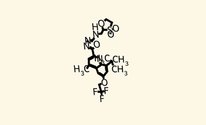 Cc1cc(-c2nnc(NCC3OCCS3(=O)=O)o2)nc2c(C(C)(C)C)cc(OCC(F)(F)F)cc12